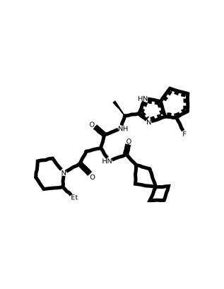 CCC1CCCCN1C(=O)CC(NC(=O)C1CC2(CCC2)C1)C(=O)N[C@@H](C)c1nc2c(F)cccc2[nH]1